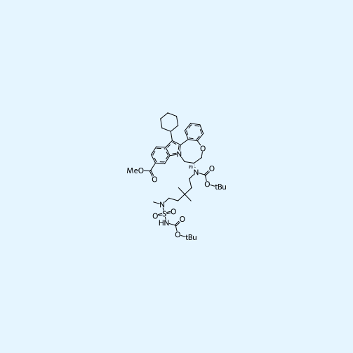 COC(=O)c1ccc2c(C3CCCCC3)c3n(c2c1)C[C@@H](N(CCC(C)(C)CCN(C)S(=O)(=O)NC(=O)OC(C)(C)C)C(=O)OC(C)(C)C)COc1ccccc1-3